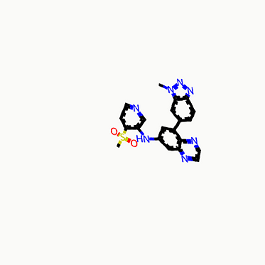 Cn1nnc2ccc(-c3cc(Nc4cnccc4S(C)(=O)=O)cc4nccnc34)cc21